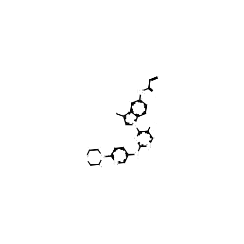 C=CC(=O)Nc1ccc2c(c1)c(C)cn2-c1nc(Nc2ccc(N3CCOCC3)nc2)ncc1Cl